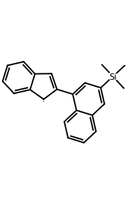 C[Si](C)(C)c1cc(C2=Cc3ccccc3[CH]2)c2ccccc2c1